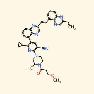 C=Cc1cnc2c(/C=C/c3cnc4c(-c5cc(C#N)c(N6CCN(C(=O)CCOC)C(C)C6)nc5C5CC5)cccc4n3)cccc2n1